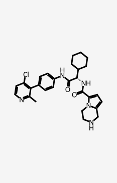 Cc1nccc(Cl)c1-c1ccc(NC(=O)[C@@H](NC(=O)c2ccc3n2CCNC3)C2CCCCC2)cc1